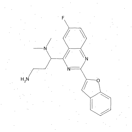 CN(C)C(CCN)c1nc(-c2cc3ccccc3o2)nc2ccc(F)cc12